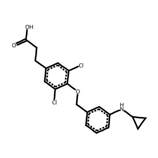 O=C(O)CCc1cc(Cl)c(OCc2cccc(NC3CC3)c2)c(Cl)c1